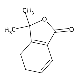 CC1(C)OC(=O)C2=C1CCC=C2